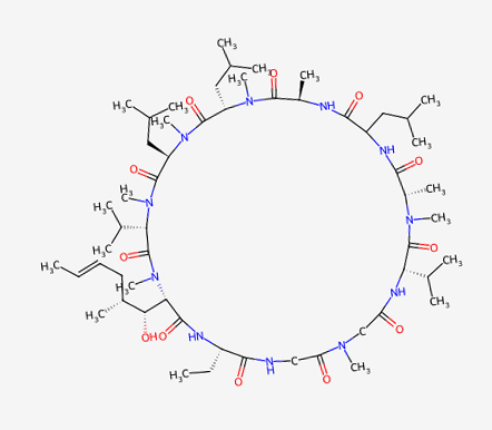 C/C=C/C[C@@H](C)[C@@H](O)[C@H]1C(=O)N[C@@H](CC)C(=O)NCC(=O)N(C)CC(=O)N[C@@H](C(C)C)C(=O)N(C)[C@@H](C)C(=O)NC(CC(C)C)C(=O)N[C@H](C)C(=O)N(C)[C@@H](CC(C)C)C(=O)N(C)[C@H](CC(C)C)C(=O)N(C)[C@@H](C(C)C)C(=O)N1C